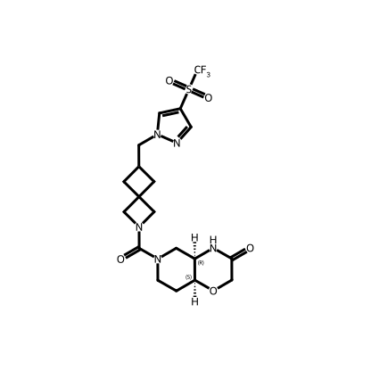 O=C1CO[C@H]2CCN(C(=O)N3CC4(CC(Cn5cc(S(=O)(=O)C(F)(F)F)cn5)C4)C3)C[C@H]2N1